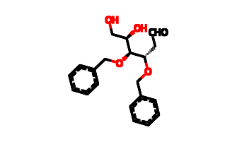 O=CC[C@H](OCc1ccccc1)[C@@H](OCc1ccccc1)[C@H](O)CO